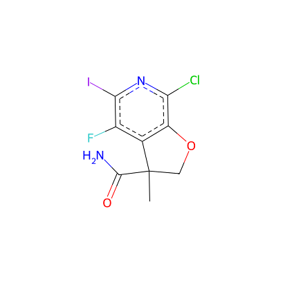 CC1(C(N)=O)COc2c(Cl)nc(I)c(F)c21